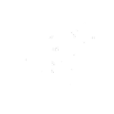 CC(C)(C)C(NC(=O)c1nn(CC2CC(F)(F)C2)c2c(F)cccc12)C(=O)NC(CO)CO